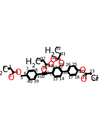 C=CC(=O)OCc1ccc(C#Cc2ccc(-c3ccc(OC(=O)C=C)cc3)c(OC(=O)C=C)c2OC(=O)C=C)cc1